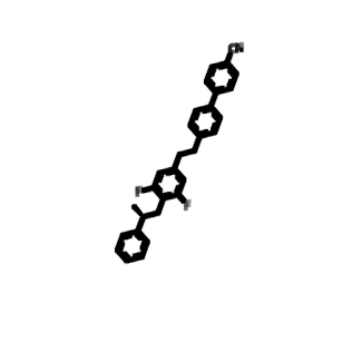 C[C@@H](Cc1c(F)cc(CCc2ccc(-c3ccc(C#N)cc3)cc2)cc1F)c1ccccc1